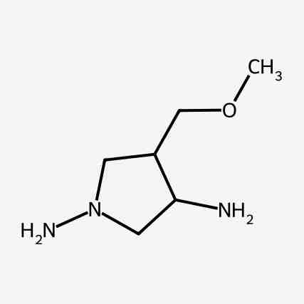 COCC1CN(N)CC1N